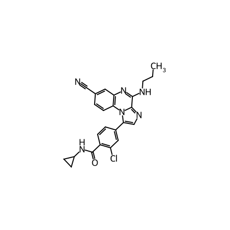 CCCNc1nc2cc(C#N)ccc2n2c(-c3ccc(C(=O)NC4CC4)c(Cl)c3)cnc12